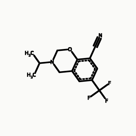 CC(C)N1COc2c(C#N)cc(C(F)(F)F)cc2C1